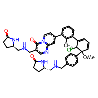 COC1(c2ccc(CNC[C@@H]3CCC(=O)N3)cc2)C=CC=C(c2cccc(-c3ccn4c(=O)c(CNC[C@H]5CCC(=O)N5)cnc4c3)c2C)C1Cl